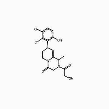 CC1C2=C[C@H](c3c(O)ccc(Cl)c3Cl)CCN2C(=O)CN1C(=O)CO